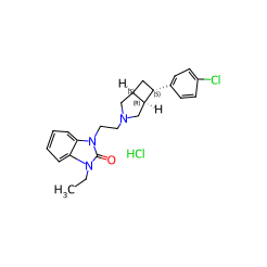 CCn1c(=O)n(CCN2C[C@H]3C[C@H](c4ccc(Cl)cc4)[C@H]3C2)c2ccccc21.Cl